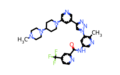 Cc1ncc(NC(=O)c2cc(C(F)(F)F)ccn2)cc1-n1cc(-c2cncc(N3CCC(N4CCN(C)CC4)CC3)c2)nn1